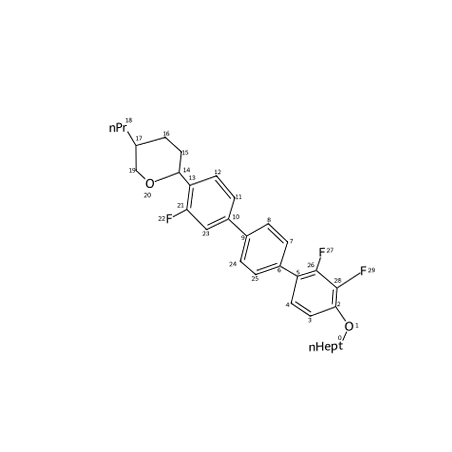 CCCCCCCOc1ccc(-c2ccc(-c3ccc(C4CCC(CCC)CO4)c(F)c3)cc2)c(F)c1F